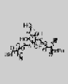 CC(C)(C)C(=O)C(=[N+]=[N-])C(=O)OCCN1C(O)N(CCO)C(O)N(CCOC(=O)C(=[N+]=[N-])C(=O)C(C)(C)C)C1O